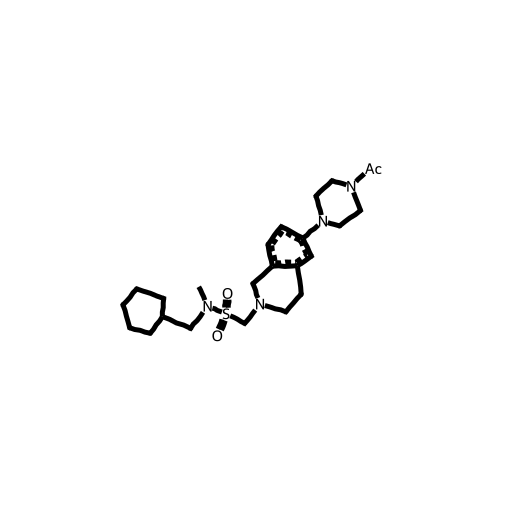 CC(=O)N1CCN(c2ccc3c(c2)CCN(CS(=O)(=O)N(C)CC2CCCCC2)C3)CC1